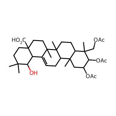 CC(=O)OCC1(C)C(OC(C)=O)C(OC(C)=O)CC2(C)C1CCC1(C)C2CC=C2C3C(O)C(C)(C)CCC3(C(=O)O)CCC21C